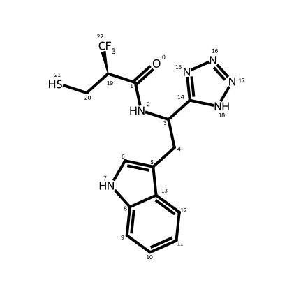 O=C(NC(Cc1c[nH]c2ccccc12)c1nnn[nH]1)[C@@H](CS)C(F)(F)F